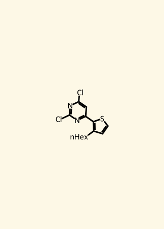 CCCCCCc1ccsc1-c1cc(Cl)nc(Cl)n1